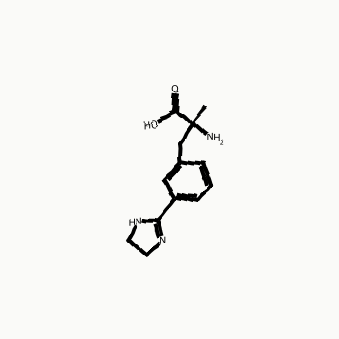 C[C@@](N)(Cc1cccc(C2=NCCN2)c1)C(=O)O